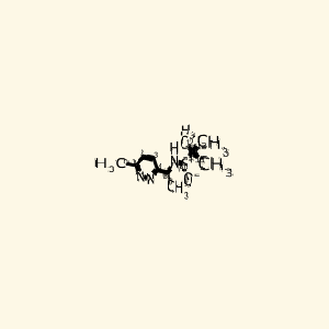 Cc1ccc([C@@H](C)N[S@@+]([O-])C(C)(C)C)nn1